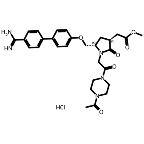 COC(=O)C[C@@H]1C[C@@H](COc2ccc(-c3ccc(C(=N)N)cc3)cc2)N(CC(=O)N2CCN(C(C)=O)CC2)C1=O.Cl